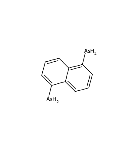 [AsH2]c1cccc2c([AsH2])cccc12